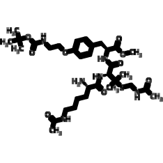 COC(=O)[C@H](Cc1ccc(OCCNC(=O)OC(C)(C)C)cc1)NC(=O)[C@@H](NC(=O)[C@@H](N)CCCCNC(C)=O)C(C)(C)SCNC(C)=O